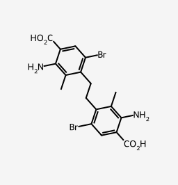 Cc1c(N)c(C(=O)O)cc(Br)c1CCc1c(Br)cc(C(=O)O)c(N)c1C